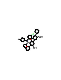 Cc1ccc(/[C](c2ccc(Cl)cc2)=[Zr](\[C]2=CC=CC2)[c]2c3c(cc(C(C)(C)C)c2-c2ccccc2)-c2cc(C(C)(C)C)c(-c4ccccc4)cc2C3)cc1